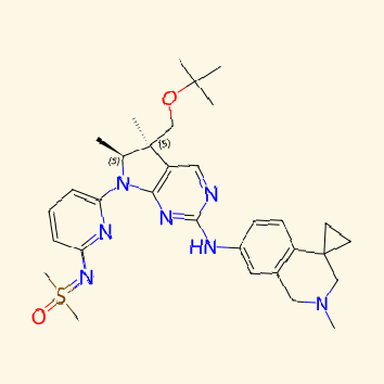 C[C@@H]1N(c2cccc(N=S(C)(C)=O)n2)c2nc(Nc3ccc4c(c3)CN(C)CC43CC3)ncc2[C@]1(C)COC(C)(C)C